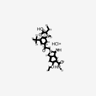 CCOc1cc2c(cc1C(=O)NC)C(=N)N(CC(=O)c1cc(N(C)C(CC)C(=O)O)cc(C(C)(C)C)c1)C2.Cl